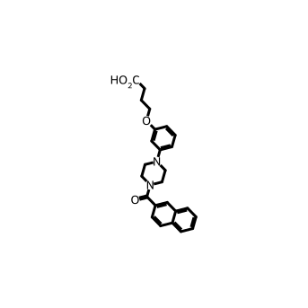 O=C(O)CCCOc1cccc(N2CCN(C(=O)c3ccc4ccccc4c3)CC2)c1